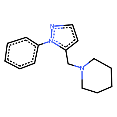 c1ccc(-n2nccc2CN2CCCCC2)cc1